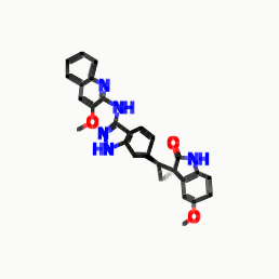 COc1ccc2c(c1)[C@]1(C[C@H]1c1ccc3c(Nc4nc5ccccc5cc4OC)n[nH]c3c1)C(=O)N2